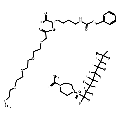 COCCOCCOCCOCCOCC(=O)N[C@@H](CCCCNC(=O)OCc1ccccc1)C(=O)O.NC(=O)N1CCN(S(=O)(=O)C(F)(F)C(F)(F)C(F)(F)C(F)(F)C(F)(F)C(F)(F)C(F)(F)C(F)(F)F)CC1